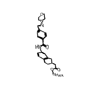 CCCCCCOC(=O)CC1CCc2ccc(NC(=O)c3ccc(C=NN4CCOCC4)cc3)cc2C1